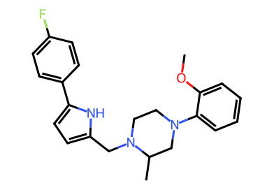 COc1ccccc1N1CCN(Cc2ccc(-c3ccc(F)cc3)[nH]2)C(C)C1